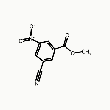 COC(=O)c1cc(C#N)cc([N+](=O)[O-])c1